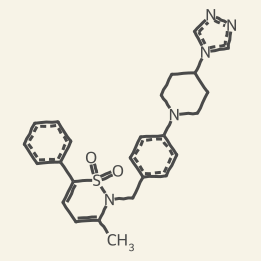 CC1=CC=C(c2ccccc2)S(=O)(=O)N1Cc1ccc(N2CCC(n3cnnc3)CC2)cc1